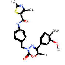 CCOc1cc(C2=NN(Cc3ccc(NC(=O)c4sc(C)nc4C)cc3)C(=O)OC2CC)ccc1OC